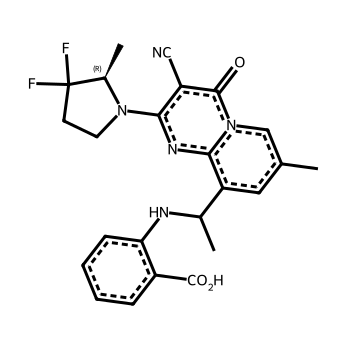 Cc1cc(C(C)Nc2ccccc2C(=O)O)c2nc(N3CCC(F)(F)[C@H]3C)c(C#N)c(=O)n2c1